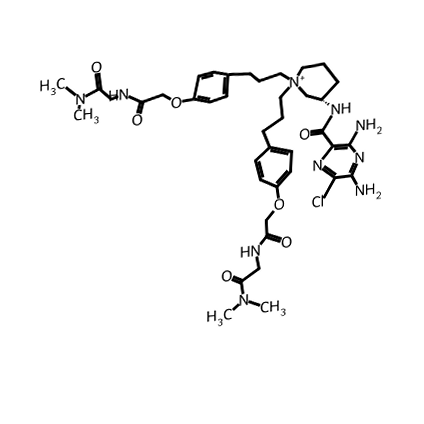 CN(C)C(=O)CNC(=O)COc1ccc(CCC[N+]2(CCCc3ccc(OCC(=O)NCC(=O)N(C)C)cc3)CCC[C@H](NC(=O)c3nc(Cl)c(N)nc3N)C2)cc1